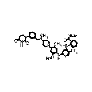 CNC(=O)c1ccccc1Nc1cc(Nc2cc(C)c(N3CCC(N(C)Cc4cccc(C5CCC(=O)NC5=O)c4)CC3)cc2OC(C)C)ncc1C(F)(F)F